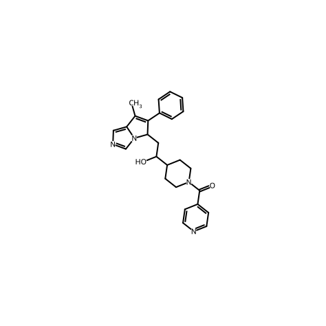 CC1=C(c2ccccc2)C(CC(O)C2CCN(C(=O)c3ccncc3)CC2)n2cncc21